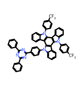 FC(F)(F)c1ccc(-n2c3ccccc3c3c4c(c5ccccc5n4-c4ccc(-c5nc(-c6ccccc6)nc(-c6ccccc6)n5)cc4)c4c(c5ccccc5n4-c4ccc(C(F)(F)F)cc4)c32)cc1